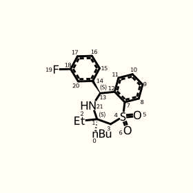 CCCC[C@@]1(CC)CS(=O)(=O)c2ccccc2[C@H](c2cccc(F)c2)N1